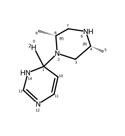 [2H]C1(N2C[C@@H](C)NC[C@H]2C)C=CN=CN1